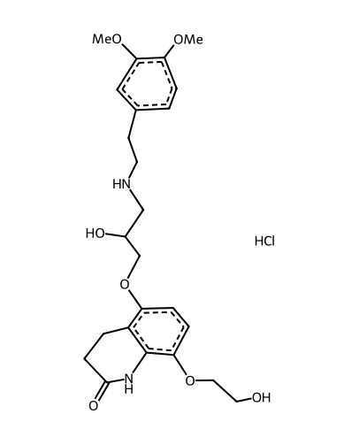 COc1ccc(CCNCC(O)COc2ccc(OCCO)c3c2CCC(=O)N3)cc1OC.Cl